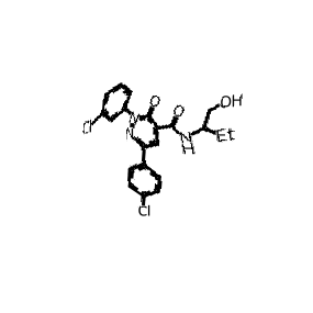 CCC(CO)NC(=O)c1cc(-c2ccc(Cl)cc2)nn(-c2cccc(Cl)c2)c1=O